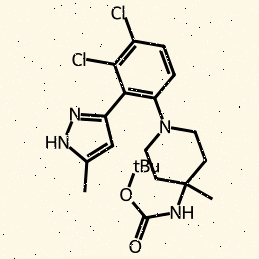 Cc1cc(-c2c(N3CCC(C)(NC(=O)OC(C)(C)C)CC3)ccc(Cl)c2Cl)n[nH]1